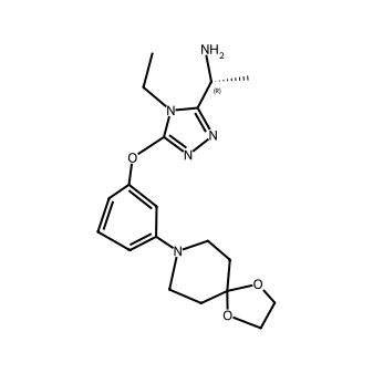 CCn1c(Oc2cccc(N3CCC4(CC3)OCCO4)c2)nnc1[C@@H](C)N